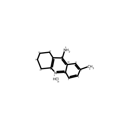 Cc1ccc2nc3c(c(N)c2c1)CCCC3.Cl